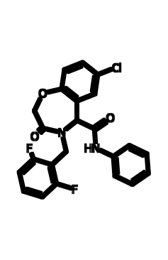 O=C(Nc1ccccc1)C1c2cc(Cl)ccc2OCC(=O)N1Cc1c(F)cccc1F